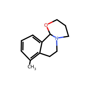 Cc1cccc2c1CCN1CCCOC21